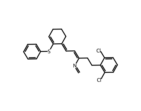 C=N/C(=C\C=C1/CCCC=C1Sc1ccccc1)CCc1c(Cl)cccc1Cl